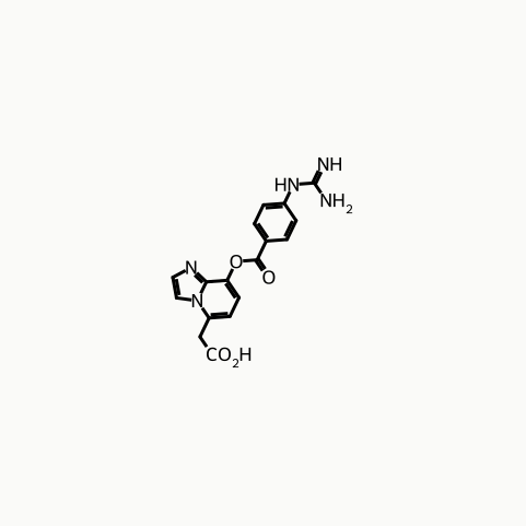 N=C(N)Nc1ccc(C(=O)Oc2ccc(CC(=O)O)n3ccnc23)cc1